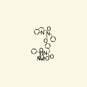 COC(=O)[C@H](Cc1ccc(OCCN(Cc2ccccc2)C(=O)c2ccc3ccccc3n2)cc1)Nc1ccccc1C(=O)c1ccccc1